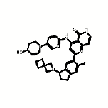 O=c1[nH]ccc2nc(-c3cc4c(cc3F)CCC4N3CC4(CCC4)C3)cc(Nc3ccc(N4CCC(O)CC4)cn3)c12